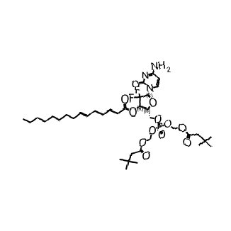 CCCCCCCCCCCCCCC(=O)O[C@@H]1[C@@H](COP(=O)(OCOC(=O)CC(C)(C)C)OCOC(=O)CC(C)(C)C)O[C@@H](n2ccc(N)nc2=O)C1(F)F